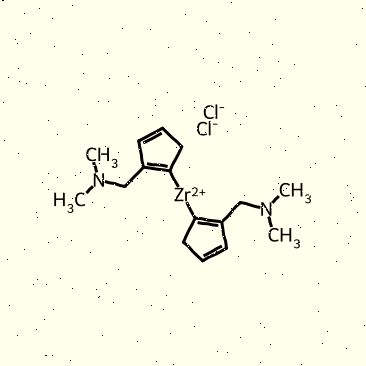 CN(C)CC1=[C]([Zr+2][C]2=C(CN(C)C)C=CC2)CC=C1.[Cl-].[Cl-]